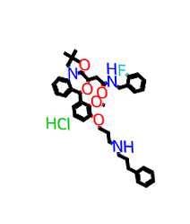 COc1c(OCCCNCCCc2ccccc2)cccc1C1OC(CC(=O)NCc2ccccc2F)C(=O)N(CC(C)(C)C)c2ccccc21.Cl